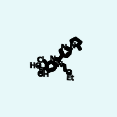 CCOCCn1c(-c2ccc(N3CCCC3C)nc2)nc2c(Cl)c(B(O)O)ccc21